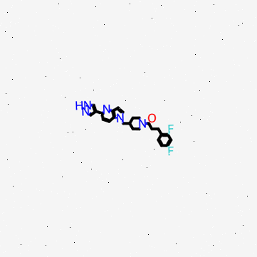 O=C(CCc1ccc(F)cc1F)N1CCC(Cn2ccc3nc(-c4cn[nH]c4)ccc32)CC1